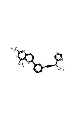 Cc1nc(N)c2nc(-c3cccc(C#C[C@H](C)c4cscn4)c3)ccc2n1